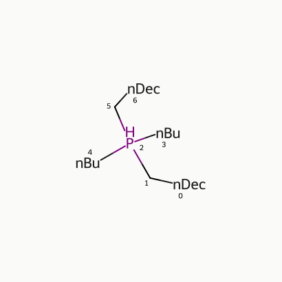 CCCCCCCCCCC[PH](CCCC)(CCCC)CCCCCCCCCCC